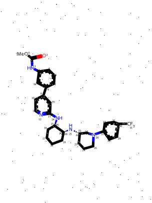 COC(=O)Nc1cccc(-c2ccnc(N[C@@H]3CCCC[C@H]3N[C@H]3CCCN(c4ccc(C(F)(F)F)cc4)C3)c2)c1